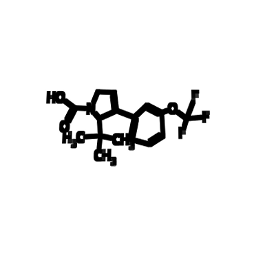 CC(C)(C)C1C(c2cccc(OC(F)(F)F)c2)=CCN1C(=O)O